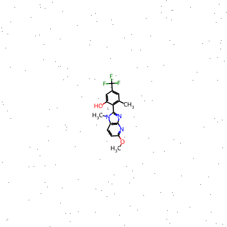 COc1ccc2c(n1)nc(-c1c(C)cc(C(F)(F)F)cc1O)n2C